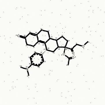 COCC(=O)[C@@]1(OC(C)=O)CCC2C3CCC4=CC(=O)CCC4=C3[C@@H](c3ccc(N(C)C)cc3)CC21